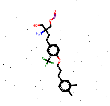 Cc1ccc(CCCOc2ccc(CCC(N)(CO)COP=O)cc2C(F)(F)F)cc1C